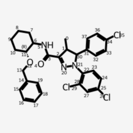 CC1C(C(=O)NC2CCCC[C@H]2OCc2ccccc2)=NN(c2ccc(Cl)cc2Cl)C1c1ccc(Cl)cc1